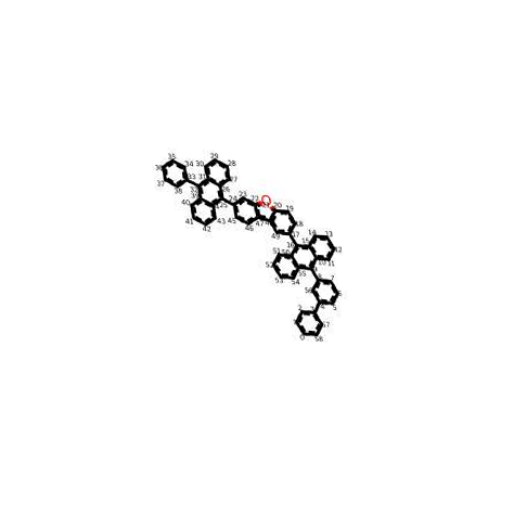 c1ccc(-c2cccc(-c3c4ccccc4c(-c4ccc5oc6cc(-c7c8ccccc8c(-c8ccccc8)c8ccccc78)ccc6c5c4)c4ccccc34)c2)cc1